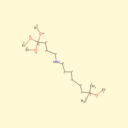 CCO[Si](C)(C)CCCCCCNCCC[Si](OCC)(OCC)OCC